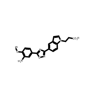 CC(C)Oc1ccc(-c2nc(-c3ccc4c(ccn4CCC(=O)O)c3)no2)cc1N